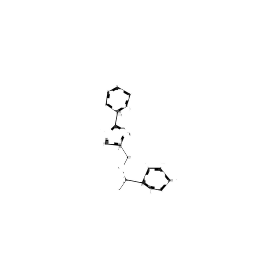 CC(NCc1csc(-c2ccccc2)n1)c1ccccc1